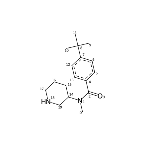 CN(C(=O)c1ccc(C(C)(C)C)cc1)C1CCCNC1